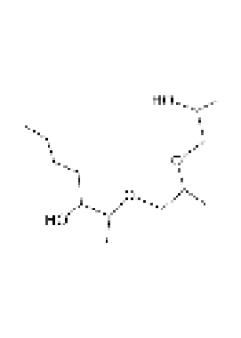 CCCCC(O)C(C)OCC(C)OCC(C)O